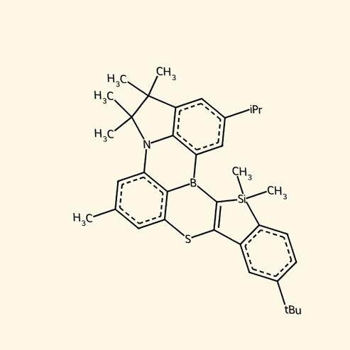 Cc1cc2c3c(c1)N1c4c(cc(C(C)C)cc4C(C)(C)C1(C)C)B3C1=C(S2)c2cc(C(C)(C)C)ccc2[Si]1(C)C